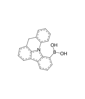 OB(O)c1cccc2c3cccc4c3n(c12)-c1ccccc1C4